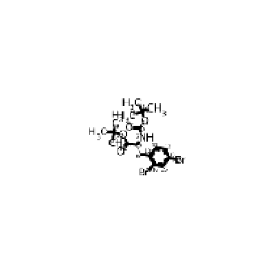 CC(C)(C)OC(=O)N[C@H](Cc1ccc(Br)cc1Br)C(=O)OC(C)(C)C